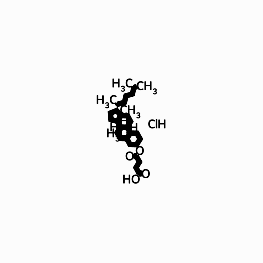 CC(C)CCCC(C)[C@H]1CC[C@H]2[C@@H]3CC=C4C[C@@H](OC(=O)CCC(=O)O)CC[C@]4(C)[C@H]3CC[C@]12C.Cl